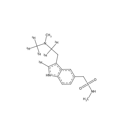 [2H]c1[nH]c2ccc(CS(=O)(=O)NC)cc2c1CC([2H])([2H])N(C)C([2H])([2H])[2H]